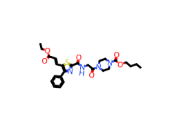 CCCCOC(=O)N1CCN(C(=O)CNC(=O)c2nc(-c3ccccc3)c(/C=C/C(=O)OCC)s2)CC1